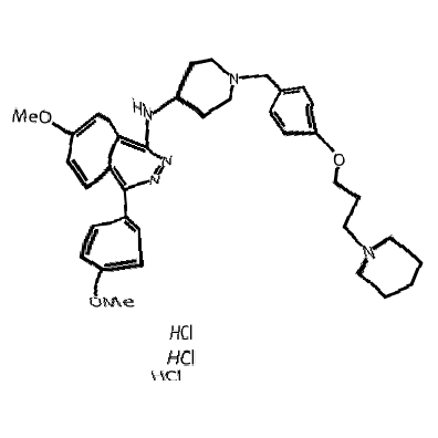 COc1ccc(-c2nnc(NC3CCN(Cc4ccc(OCCCN5CCCCC5)cc4)CC3)c3cc(OC)ccc23)cc1.Cl.Cl.Cl